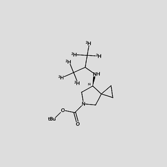 [2H]C([2H])([2H])C(N[C@@H]1CN(C(=O)OC(C)(C)C)CC12CC2)C([2H])([2H])[2H]